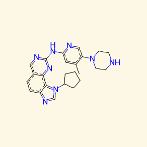 Cc1cc(Nc2ncc3ccc4ncn(C5CCCC5)c4c3n2)ncc1N1CCNCC1